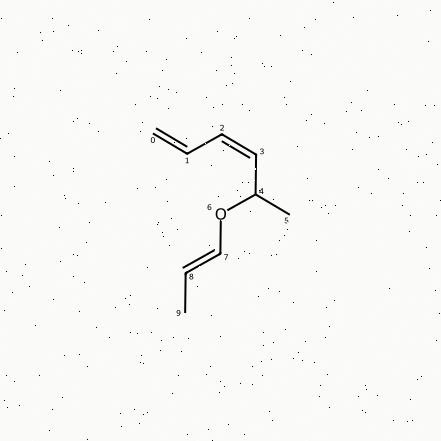 C=C/C=C\C(C)O/C=C/C